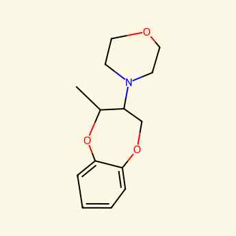 CC1Oc2ccccc2OCC1N1CCOCC1